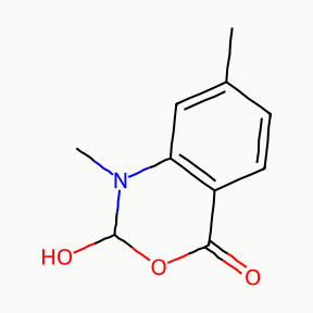 Cc1ccc2c(c1)N(C)C(O)OC2=O